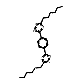 CCCCCCc1nnc(-c2ccc(-c3nnc(CCCCCC)s3)cc2)s1